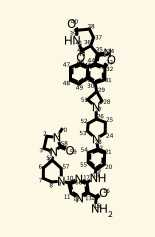 CN1CCN([C@@H]2CCCN(c3cnc(C(N)=O)c(Nc4ccc(N5CCC(N6CC(c7cc8onc(C9CCC(=O)NC9=O)c8c8ccccc78)C6)CC5)cc4)n3)C2)C1=O